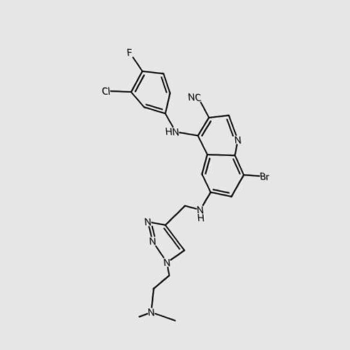 CN(C)CCn1cc(CNc2cc(Br)c3ncc(C#N)c(Nc4ccc(F)c(Cl)c4)c3c2)nn1